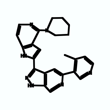 Cc1ccncc1-c1cc2c(-c3cc4c(N5CCCCC5)nccc4[nH]3)n[nH]c2cn1